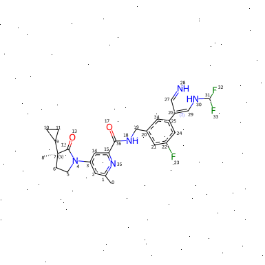 Cc1cc(N2CC[C@@](C)(C3CC3)C2=O)cc(C(=O)NCc2cc(F)cc(/C(C=N)=C/NC(F)F)c2)n1